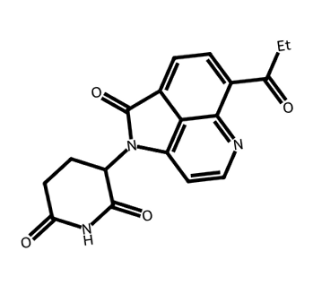 CCC(=O)c1ccc2c3c(ccnc13)N(C1CCC(=O)NC1=O)C2=O